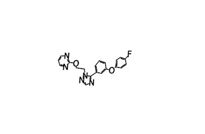 Fc1ccc(Oc2cccc(-c3ncnn3CCOc3ncccn3)c2)cc1